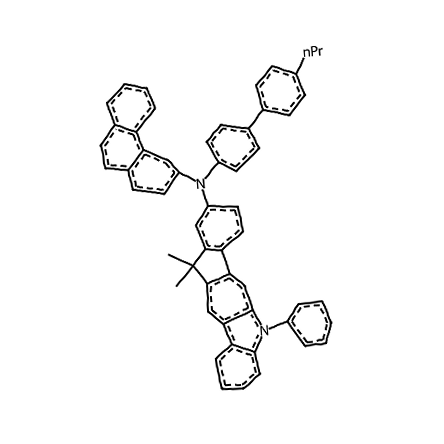 CCCc1ccc(-c2ccc(N(c3ccc4c(c3)C(C)(C)c3cc5c6ccccc6n(-c6ccccc6)c5cc3-4)c3ccc4ccc5ccccc5c4c3)cc2)cc1